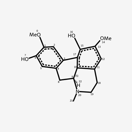 COc1cc2c(cc1O)C[C@H]1c3c(cc(OC)c(O)c3-2)CCN1C